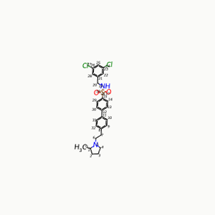 CC1CCCN1CCc1ccc(-c2ccc(S(=O)(=O)NCc3cc(Cl)cc(Cl)c3)cc2)cc1